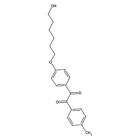 Cc1ccc(C(=O)C(=O)c2ccc(OCCCCCCO)cc2)cc1